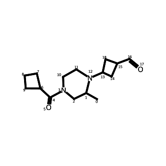 CC1CN(C(=O)C2CCC2)CCN1C1CC(C=O)C1